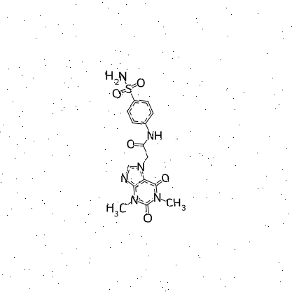 Cn1c(=O)c2c(ncn2CC(=O)Nc2ccc(S(N)(=O)=O)cc2)n(C)c1=O